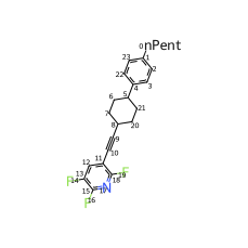 CCCCCc1ccc(C2CCC(C#Cc3cc(F)c(F)nc3F)CC2)cc1